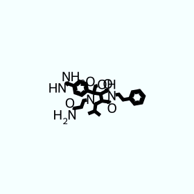 CC(C)C1C2C(=O)N(CCc3ccccc3)C(=O)C2C(C(=O)O)(c2ccc(C(=N)N)cc2)N1CCC(N)=O